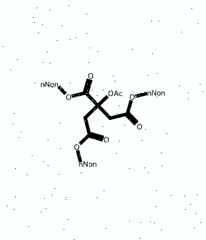 CCCCCCCCCOC(=O)CC(CC(=O)OCCCCCCCCC)(OC(C)=O)C(=O)OCCCCCCCCC